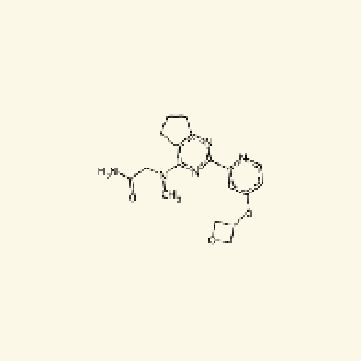 CN(CC(N)=O)c1nc(-c2cc(OC3COC3)ccn2)nc2c1CCC2